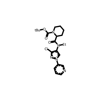 CCN(C(=O)C1CCCCN1C(=O)OC(C)(C)C)c1cn(-c2cccnc2)nc1Cl